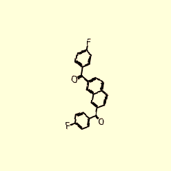 O=C(c1ccc(F)cc1)c1ccc2ccc(C(=O)c3ccc(F)cc3)cc2c1